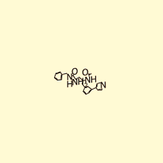 CC(=O)NC(Cc1cccc(-c2ccncc2)c1)C[C@H](N)C(=O)NCc1ccccc1